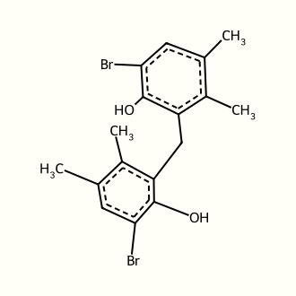 Cc1cc(Br)c(O)c(Cc2c(C)c(C)cc(Br)c2O)c1C